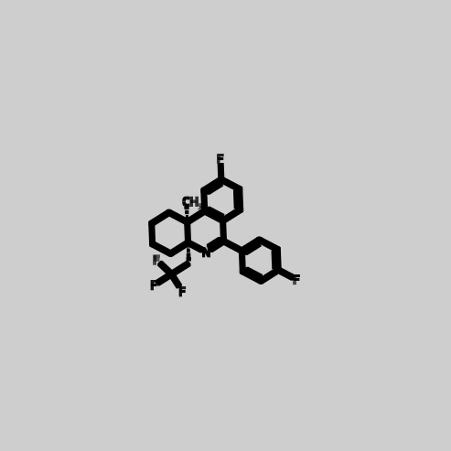 C[C@@]12CCCC[C@]1(CC(F)(F)F)N=C(c1ccc(F)cc1)c1ccc(F)cc12